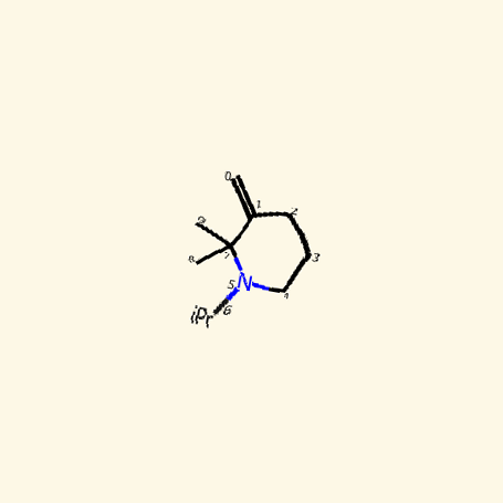 C=C1CCCN(C(C)C)C1(C)C